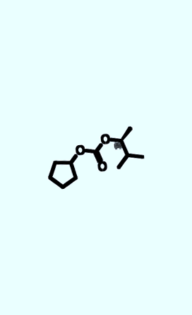 CC(C)[C@H](C)OC(=O)OC1CCCC1